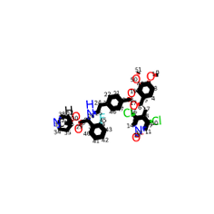 COc1ccc([C@H](Cc2c(Cl)c[n+]([O-])cc2Cl)OC(=O)c2ccc(CCNC(C(=O)O[C@H]3CN4CCC3CC4)c3ccccc3F)cc2)cc1OC